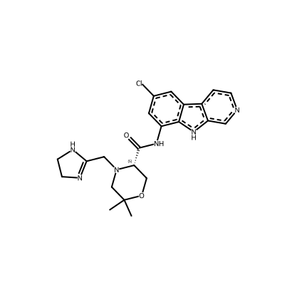 CC1(C)CN(CC2=NCCN2)[C@H](C(=O)Nc2cc(Cl)cc3c2[nH]c2cnccc23)CO1